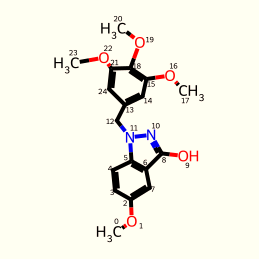 COc1ccc2c(c1)c(O)nn2Cc1cc(OC)c(OC)c(OC)c1